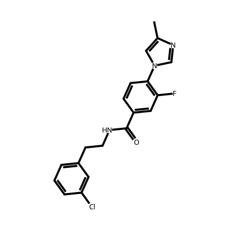 Cc1cn(-c2ccc(C(=O)NCCc3cccc(Cl)c3)cc2F)cn1